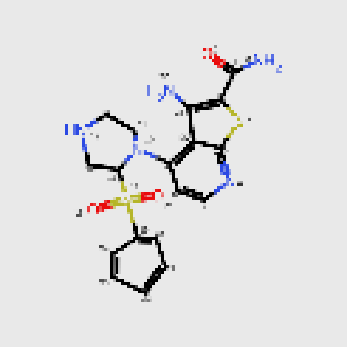 NC(=O)c1sc2nccc(N3CCNCC3S(=O)(=O)c3ccccc3)c2c1N